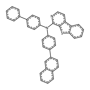 c1ccc(-c2ccc(N(c3ccc(-c4ccc5ccccc5c4)cc3)c3nccc4c3sc3ccccc34)cc2)cc1